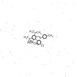 Cc1ccc(SCc2c(C(C)C)cc(C(C)C)c(C(C)O)c2-c2ccc(Cl)cc2)cc1